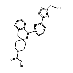 CC(C)(C)OC(=O)N1CCC2(C=C(c3cccc(-c4nnn(CC(=O)O)n4)c3)c3ccccc3O2)CC1